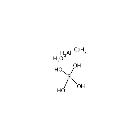 O.O[Si](O)(O)O.[AlH3].[CaH2]